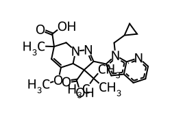 COC1=CC(C)(C(=O)O)CN2N=C(c3cc4cccnc4n3CC3CC3)C(C(=O)O)(C(C)(C)C)C12